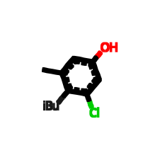 CCC(C)c1c(C)cc(O)cc1Cl